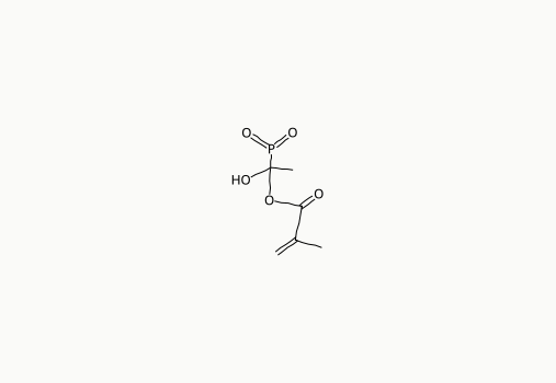 C=C(C)C(=O)OC(C)(O)P(=O)=O